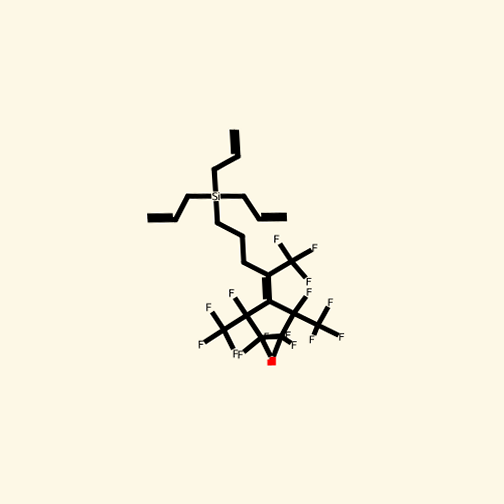 C=CC[Si](CC=C)(CC=C)CCCC(=C(C(F)(C(F)(F)F)C(F)(F)F)C(F)(C(F)(F)F)C(F)(F)F)C(F)(F)F